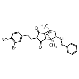 C[C@]12O[C@](C)(CC1NSc1ccccc1)C1C(=O)C(CCc3ccc(C#N)c(Br)c3)C(=O)C12